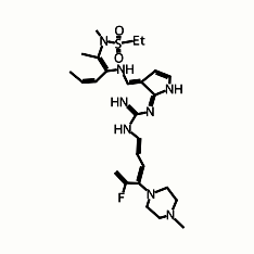 C=C(F)/C(=C\C=C\NC(=N)/N=C1/NC=C/C1=C\NC(/C=C\C)=C(/C)N(C)S(=O)(=O)CC)N1CCN(C)CC1